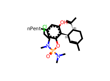 C=C(C)[C@@H]1CCC(C)=C[C@H]1c1c(O)cc(CCCCC)cc1OP(=O)(N(C)C)N(C)CCCl